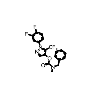 CN(Cc1ccccc1)C(=O)Oc1cnn(-c2ccc(F)c(F)c2)c1C(F)(F)F